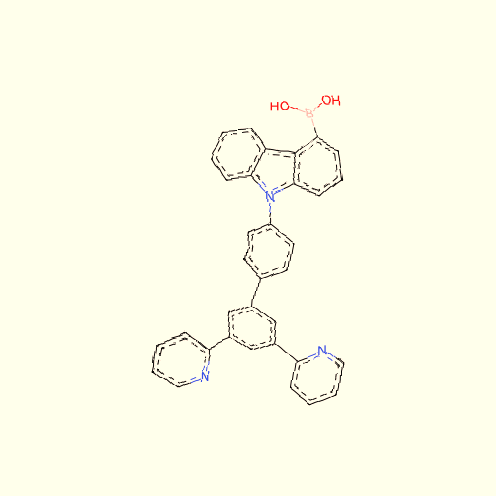 OB(O)c1cccc2c1c1ccccc1n2-c1ccc(-c2cc(-c3ccccn3)cc(-c3ccccn3)c2)cc1